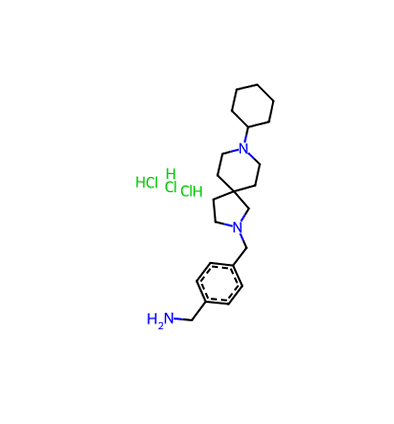 Cl.Cl.Cl.NCc1ccc(CN2CCC3(CCN(C4CCCCC4)CC3)C2)cc1